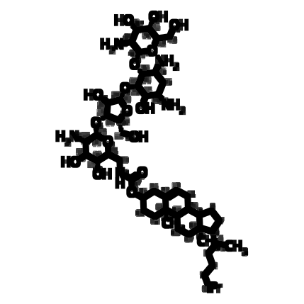 CC(C)CCCC(C)[C@H]1CCC2C3CC=C4CC(OC(=O)NCC5O[C@H](O[C@@H]6C(O)[C@H](O[C@@H]7C(O)[C@H](N)CC(N)[C@H]7O[C@H]7OC(CO)[C@@H](O)[C@H](O)C7N)O[C@@H]6CO)[C@H](N)C(O)[C@@H]5O)CC[C@]4(C)C3CC[C@@]21C